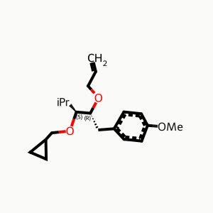 C=CCO[C@H](Cc1ccc(OC)cc1)[C@@H](OCC1CC1)C(C)C